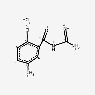 Cc1ccc(Cl)c(C(=O)NC(=N)N)c1.Cl